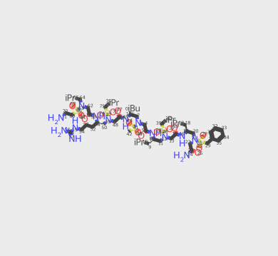 CCC(C)[C@@H](CN(CC(=O)N[C@@H](CC(C)C)CN(CC(=O)N[C@@H](CC(C)C)CN(CC(N)=O)S(=O)(=O)Cc1ccccc1)S(=O)(=O)CC(C)C)S(C)(=O)=O)NC(=O)CN(C[C@H](CCCNC(=N)N)NC(=O)CN(CC(C)C)S(=O)(=O)CCN)S(=O)(=O)CC(C)C